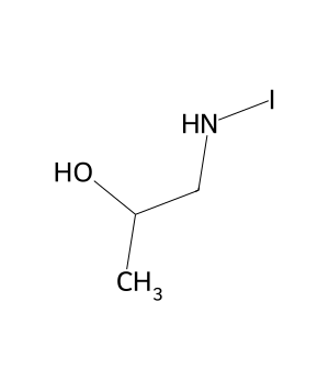 CC(O)CNI